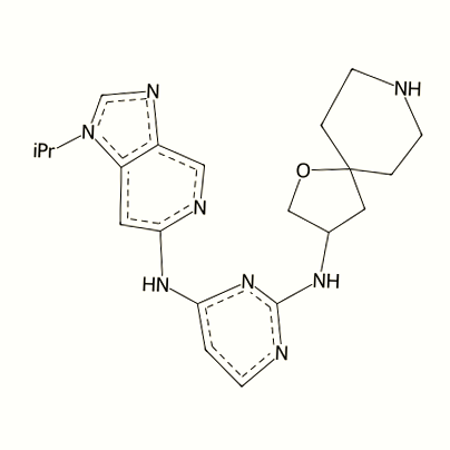 CC(C)n1cnc2cnc(Nc3ccnc(NC4COC5(CCNCC5)C4)n3)cc21